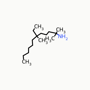 CCCCCCC(C)(CC)CCCC(C)(C)N